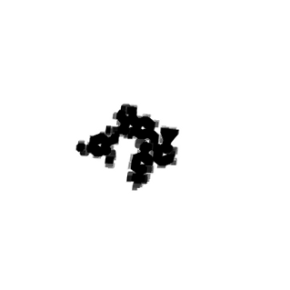 COc1ccc(CNc2nc3cc(CN(C(=O)c4ccc(C(F)(F)F)nc4)c4cccnc4C4CC4)ccc3c3c2COC3)c(OC)c1